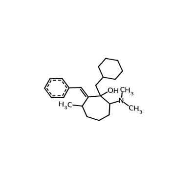 CC1CCCC(N(C)C)C(O)(CC2CCCCC2)C1=Cc1ccccc1